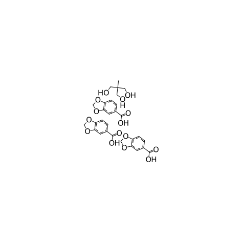 CC(CO)(CO)CO.O=C(O)c1ccc2c(c1)OCO2.O=C(O)c1ccc2c(c1)OCO2.O=C(O)c1ccc2c(c1)OCO2